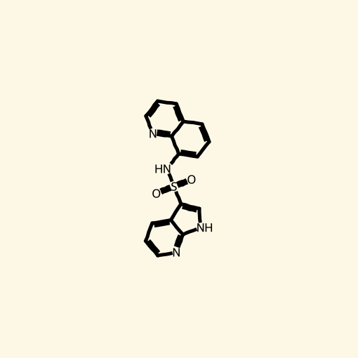 O=S(=O)(Nc1cccc2cccnc12)c1c[nH]c2ncccc12